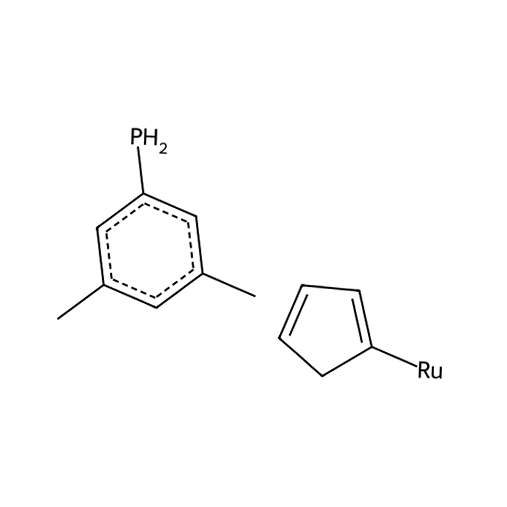 Cc1cc(C)cc(P)c1.[Ru][C]1=CC=CC1